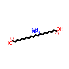 N.N.O=C(O)CCCCCCCCCCCCCCCCCCC(=O)O